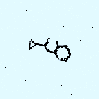 O=C(Cc1ncccc1F)C1CO1